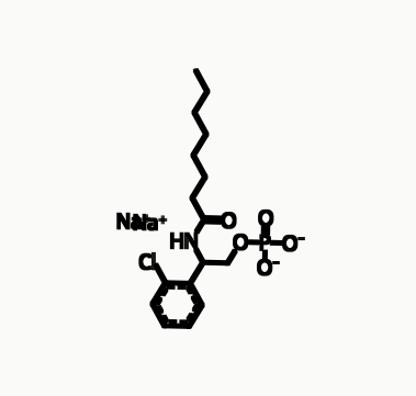 CCCCCCCC(=O)NC(COP(=O)([O-])[O-])c1ccccc1Cl.[Na+].[Na+]